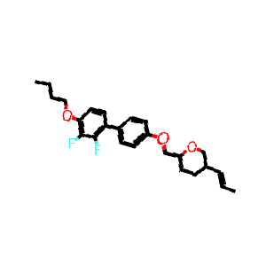 C/C=C/C1CCC(COc2ccc(-c3ccc(OCCCC)c(F)c3F)cc2)OC1